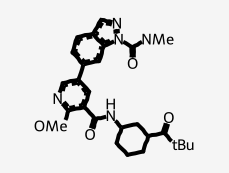 CNC(=O)n1ncc2ccc(-c3cnc(OC)c(C(=O)NC4CCCC(C(=O)C(C)(C)C)C4)c3)cc21